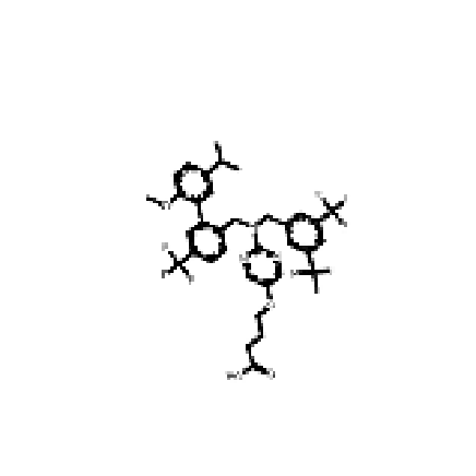 COc1ccc(C(C)C)cc1-c1cc(C(F)(F)F)ccc1CN(Cc1cc(C(F)(F)F)cc(C(F)(F)F)c1)c1ncc(OCCCC(=O)O)cn1